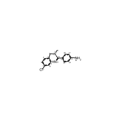 CN(Cc1ccc(Cl)cc1)C(=N)c1ccc(N)cc1